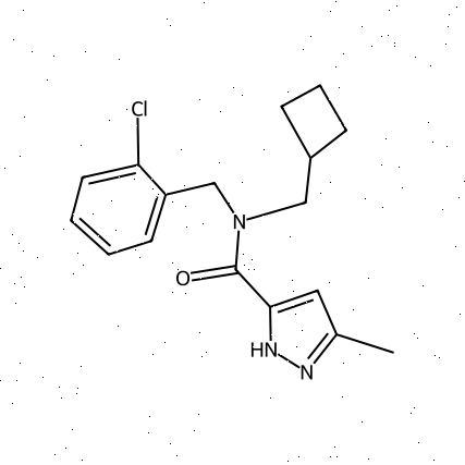 Cc1cc(C(=O)N(Cc2ccccc2Cl)CC2CCC2)[nH]n1